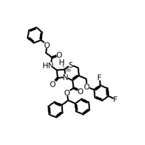 O=C(COc1ccccc1)NC1C(=O)N2C(C(=O)OC(c3ccccc3)c3ccccc3)=C(COc3ccc(F)cc3F)CS[C@H]12